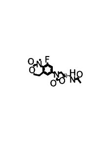 CC(=O)NC[C@H]1CN(c2cc(F)c3c(c2)CCOC(=O)N3C)C(=O)O1